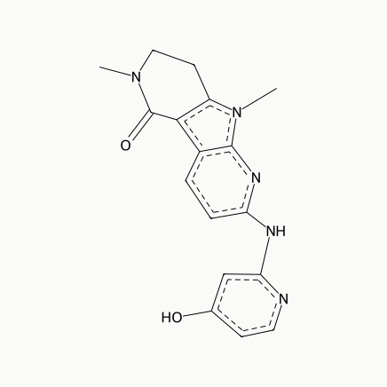 CN1CCc2c(c3ccc(Nc4cc(O)ccn4)nc3n2C)C1=O